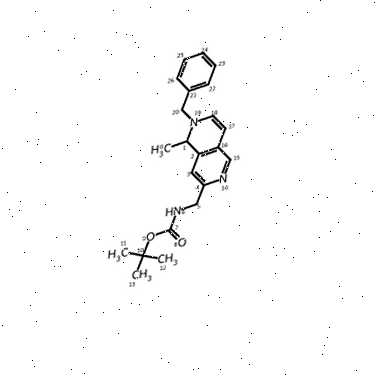 CC1c2cc(CNC(=O)OC(C)(C)C)ncc2C=CN1Cc1ccccc1